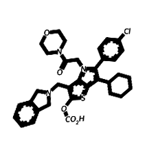 O=C(O)Oc1sc2c(C3CCCCC3)c(-c3ccc(Cl)cc3)n(CC(=O)N3CCOCC3)c2c1CN1Cc2ccccc2C1